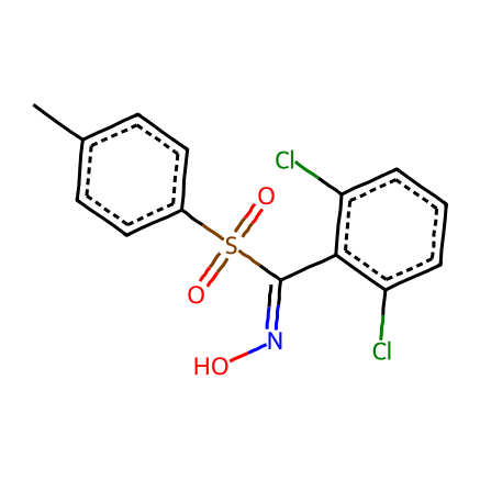 Cc1ccc(S(=O)(=O)C(=NO)c2c(Cl)cccc2Cl)cc1